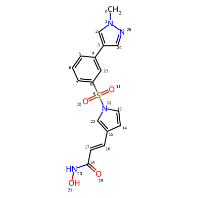 Cn1cc(-c2cccc(S(=O)(=O)n3ccc(C=CC(=O)NO)c3)c2)cn1